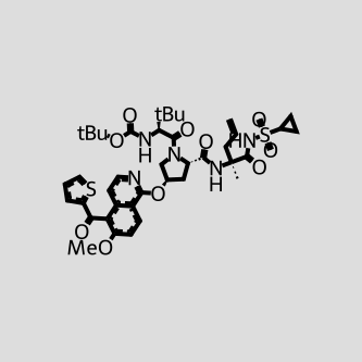 C=CC[C@](C)(NC(=O)[C@@H]1C[C@@H](Oc2nccc3c(C(=O)c4cccs4)c(OC)ccc23)CN1C(=O)[C@@H](NC(=O)OC(C)(C)C)C(C)(C)C)C(=O)NS(=O)(=O)C1CC1